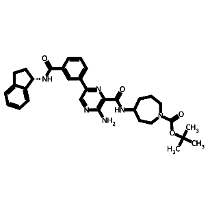 CC(C)(C)OC(=O)N1CCCC(NC(=O)c2nc(-c3cccc(C(=O)N[C@H]4CCc5ccccc54)c3)cnc2N)CC1